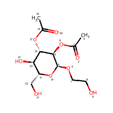 CC(=O)O[C@H]1[C@@H](OCCO)O[C@H](CO)[C@@H](O)[C@@H]1OC(C)=O